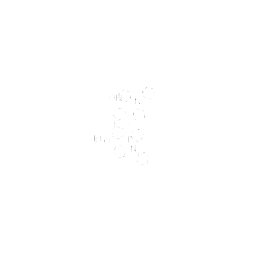 CCOc1ccc(C2(c3ccc(C(C)O)cc3F)c3cc(N(c4ccc(C)cc4)c4ccc(C)cc4)ccc3-c3ccc(N(c4ccc(C)cc4)c4ccc(C)cc4)cc32)c(F)c1